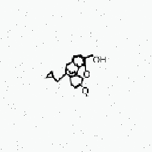 COC1=CCC2C3Cc4ccc(CO)c5c4C2(CCN3CC2CC2)C1O5